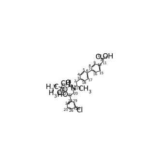 C[C@H](Cc1ccc(-c2ccc(CC(=O)O)cc2)cc1)N(C[C@H](O)c1cccc(Cl)c1)C(=O)OC(C)(C)C